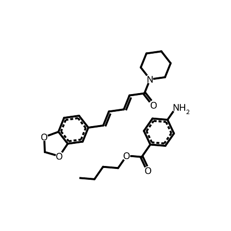 CCCCOC(=O)c1ccc(N)cc1.O=C(/C=C/C=C/c1ccc2c(c1)OCO2)N1CCCCC1